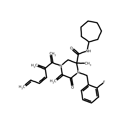 C=C/C=C\C(=C)C(=C)N1CC(C)(C(=O)NC2CCCCCC2)N(Cc2ccccc2F)C(=O)C1=C